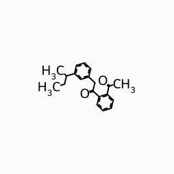 CCC(C)c1cccc(CC(=O)c2ccccc2C(C)=O)c1